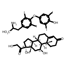 C[C@]12CCC(=O)C=C1CC[C@@H]1[C@@H]2[C@@H](O)C[C@@]2(C)[C@H]1CC[C@]2(O)C(=O)CO.NC(Cc1cc(I)c(Oc2cc(I)c(O)c(I)c2)c(I)c1)C(=O)O